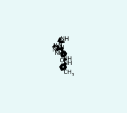 Cc1cccc(NC(=O)Nc2ccc(-c3nn([C@H]4CCNC4)c4ncnc(N)c34)cc2)c1